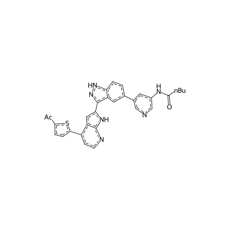 CCCCC(=O)Nc1cncc(-c2ccc3[nH]nc(-c4cc5c(-c6ccc(C(C)=O)s6)ccnc5[nH]4)c3c2)c1